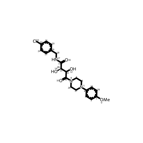 COc1ccc(N2CCN(C(=O)C(O)[C@@H](O)C(=O)NCc3ccc(Cl)cc3)CC2)cc1